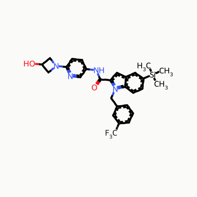 C[Si](C)(C)c1ccc2c(c1)cc(C(=O)Nc1ccc(N3CC(O)C3)nc1)n2Cc1cccc(C(F)(F)F)c1